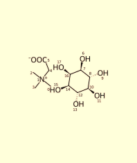 C[N+](C)(C)CC(=O)[O-].O[C@H]1[C@H](O)[C@@H](O)[C@H](O)[C@@H](O)[C@H]1O